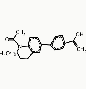 C=C(O)c1ccc(-c2ccc3c(c2)CC[C@H](C)N3C(C)=O)cc1